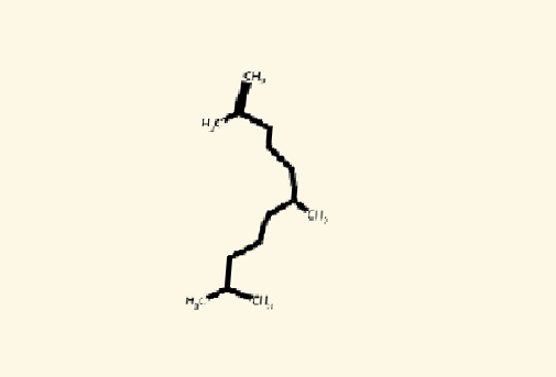 C=C(C)CCCC(C)CCCC(C)C